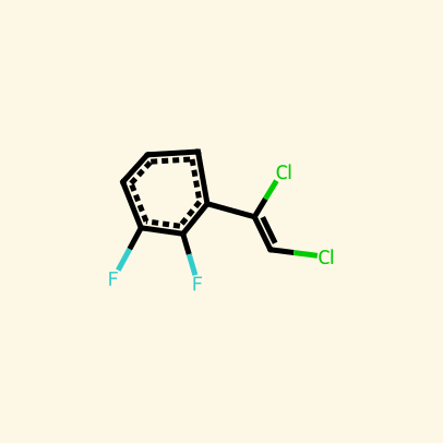 Fc1cccc(C(Cl)=CCl)c1F